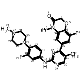 CC(C)N1C(=O)COc2c(F)cc(-c3nc(Nc4ccc(N5CCN(C)CC5)c(F)c4)ncc3C(F)(F)F)cc21